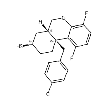 Fc1ccc(F)c2c1OC[C@H]1C[C@H](S)CC[C@@]21Cc1ccc(Cl)cc1